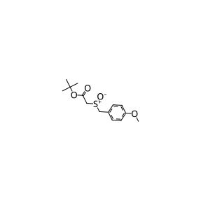 COc1ccc(C[S+]([O-])CC(=O)OC(C)(C)C)cc1